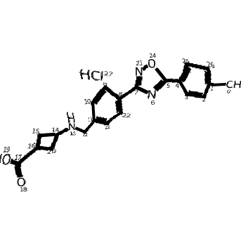 Cc1ccc(-c2nc(-c3ccc(CNC4CC(C(=O)O)C4)cc3)no2)cc1.Cl